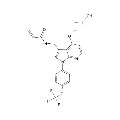 C=CC(=O)NCc1nn(-c2ccc(OC(F)(F)F)cc2)c2nccc(OC3CC(O)C3)c12